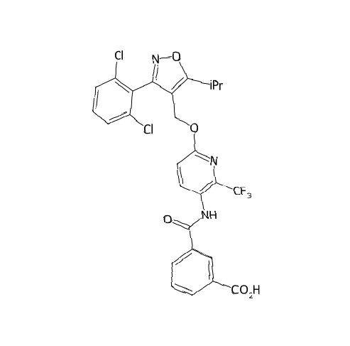 CC(C)c1onc(-c2c(Cl)cccc2Cl)c1COc1ccc(NC(=O)c2cccc(C(=O)O)c2)c(C(F)(F)F)n1